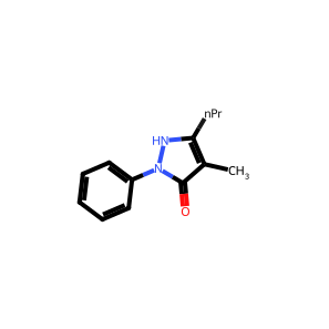 CCCc1[nH]n(-c2ccccc2)c(=O)c1C